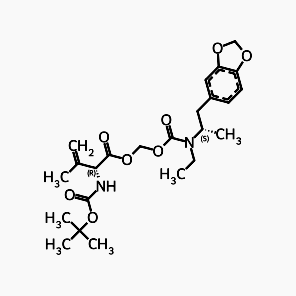 C=C(C)[C@@H](NC(=O)OC(C)(C)C)C(=O)OCOC(=O)N(CC)[C@@H](C)Cc1ccc2c(c1)OCO2